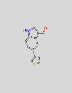 O=Cc1c[nH]c2ccc(-c3ccsc3)cc12